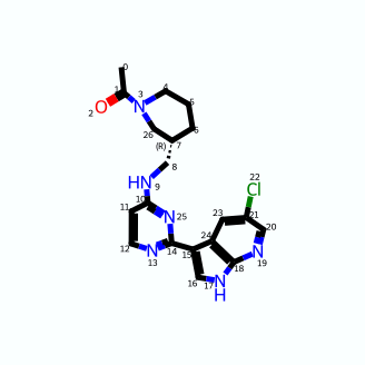 CC(=O)N1CCC[C@H](CNc2ccnc(-c3c[nH]c4ncc(Cl)cc34)n2)C1